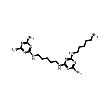 NCCCCCNc1nc(N)nc(NCCCCCNc2nc(N)nc(N)n2)n1